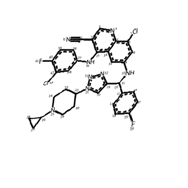 N#Cc1cnc2c(Cl)cc(N[C@@H](c3ccc(F)cc3)c3cn(C4CCN(C5CC5)CC4)nn3)cc2c1Nc1ccc(F)c(Cl)c1